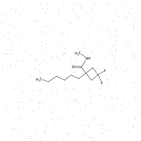 CCCCCCC1(C(=O)NC)CC(F)(F)C1